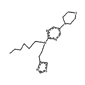 CCCCCCN(CCc1cs[c]n1)c1ncc(N2CCOCC2)cn1